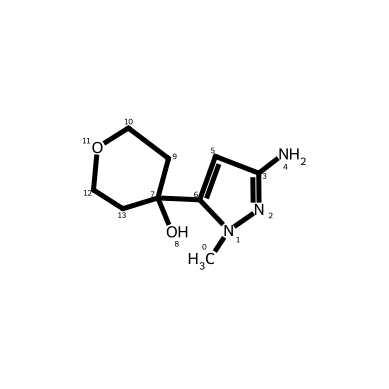 Cn1nc(N)cc1C1(O)CCOCC1